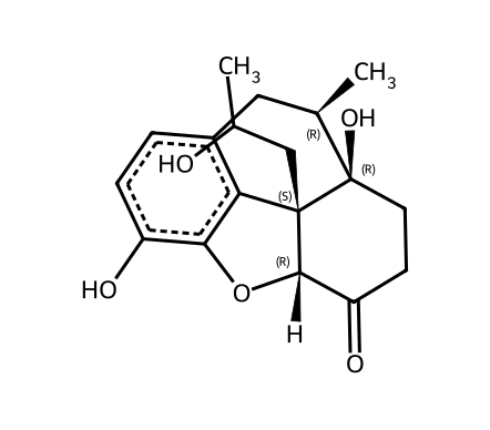 CC(O)C[C@]12c3c4ccc(O)c3O[C@H]1C(=O)CC[C@@]2(O)[C@H](C)C4